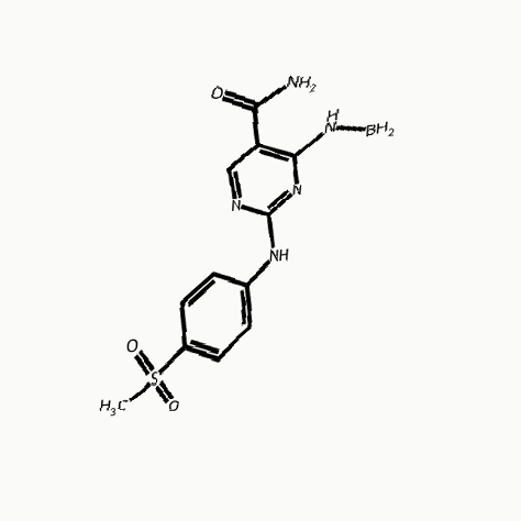 BNc1nc(Nc2ccc(S(C)(=O)=O)cc2)ncc1C(N)=O